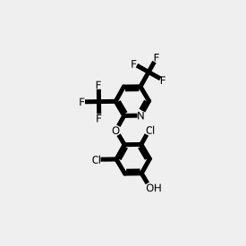 Oc1cc(Cl)c(Oc2ncc(C(F)(F)F)cc2C(F)(F)F)c(Cl)c1